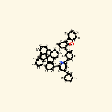 c1ccc(-c2cc(-c3cccc(-c4cccc5c4oc4ccccc45)c3)nc(-c3cccc4c3-c3ccccc3C43c4ccccc4-c4ccccc43)c2)cc1